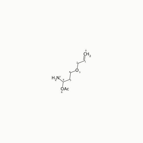 C=CCOCCC(N)OC(C)=O